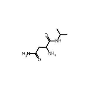 CC(C)NC(=O)C(N)CC(N)=O